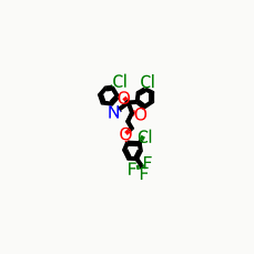 N#CC(Oc1ccccc1Cl)(C(=O)CCOc1ccc(C(F)(F)F)cc1Cl)c1cccc(Cl)c1